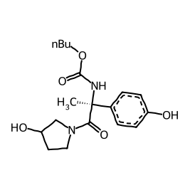 CCCCOC(=O)N[C@](C)(C(=O)N1CCC(O)C1)c1ccc(O)cc1